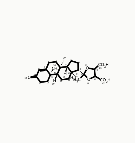 CC1([C@H]2CC[C@H]3[C@@H]4CCC5=CC(=O)CC[C@]5(C)[C@H]4CC[C@]23C)OC(C(=O)O)C(C(=O)O)O1